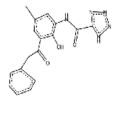 Cc1cc(NC(=O)c2nnn[nH]2)c(O)c(C(=O)Cc2ccccc2)c1